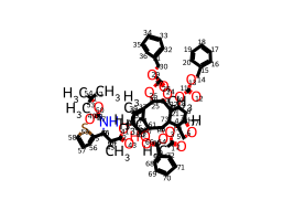 CC(=O)O[C@@]12CO[C@@H]1C[C@H](OC(=O)OCc1ccccc1)[C@@]1(C)C(=O)[C@H](OC(=O)OCc3ccccc3)C3=C(C)[C@@H](OC(=O)[C@H](C)[C@@H](NC(=O)OC(C)(C)C)c4cccs4)C[C@@](O)([C@@H](OC(=O)c4ccccc4)C12)C3(C)C